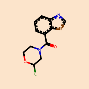 O=C(c1cccc2ncsc12)N1CCOC(Cl)C1